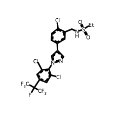 CCS(=O)(=O)NCc1cc(-c2cnn(-c3c(Cl)cc(C(F)(C(F)(F)F)C(F)(F)F)cc3Cl)c2)ccc1Cl